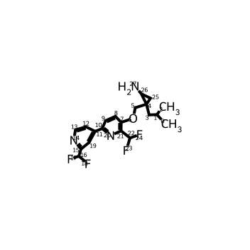 CC(C)CC1(COc2ccc(-c3ccnc(C(F)F)c3)nc2C(F)F)CC1N